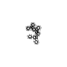 c1ccc(-c2cc(-c3ccccc3)nc(-c3cccc(-n4c5ccccc5c5c6c7ccccc7n(-c7ccccc7)c6ccc54)n3)c2)cc1